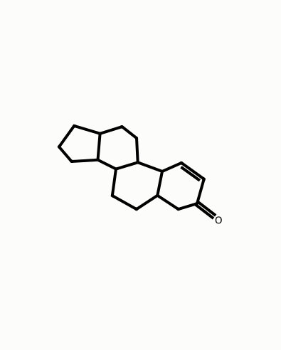 O=C1C=CC2C(CCC3C4CCCC4CCC23)C1